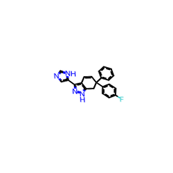 Fc1ccc(C2(c3ccccc3)C=Cc3c(-c4cnc[nH]4)n[nH]c3C2)cc1